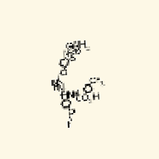 NS(=O)(=O)c1nc2ccc(OCc3cn([C@H](CN[C@@H](Cc4cccc(C(F)(F)F)c4)C(=O)O)Cc4ccc(OCCF)cc4)nn3)cc2s1